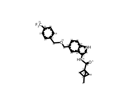 CC12CC(C(=O)Nc3c[nH]c4ccc(COCc5ccc(C(F)(F)F)cc5)cc34)(C1)C2